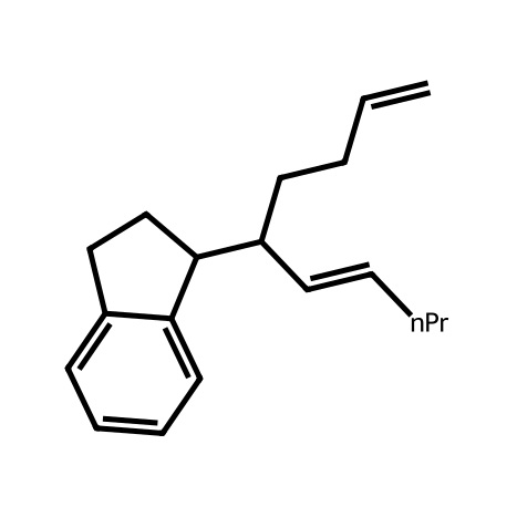 C=CCCC(C=CCCC)C1CCc2ccccc21